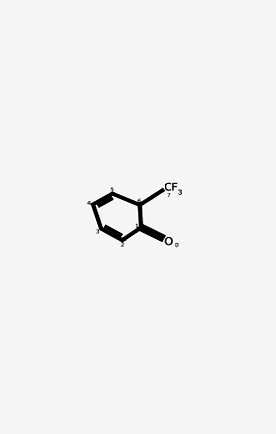 O=C1[C]=CC=CC1C(F)(F)F